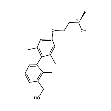 Cc1cc(OCC[C@@H](C)O)cc(C)c1-c1cccc(CO)c1C